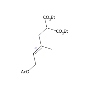 CCOC(=O)C(C/C(C)=C/COC(C)=O)C(=O)OCC